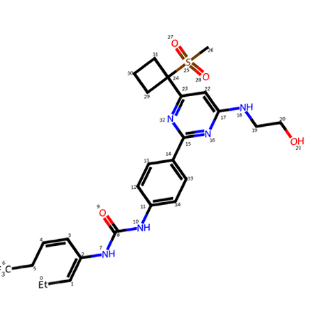 CC/C=C(\C=C/CC(F)(F)F)NC(=O)Nc1ccc(-c2nc(NCCO)cc(C3(S(C)(=O)=O)CCC3)n2)cc1